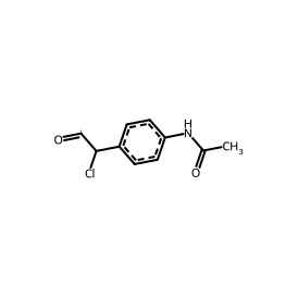 CC(=O)Nc1ccc(C(Cl)[C]=O)cc1